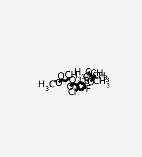 CCOC(=O)CC(C)OC(=O)c1cc(B2OC(C)(C)C(C)(C)O2)c(F)cc1Cl